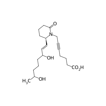 CC(O)CCCC(O)/C=C/[C@H]1CCCC(=O)N1CC#CCCCC(=O)O